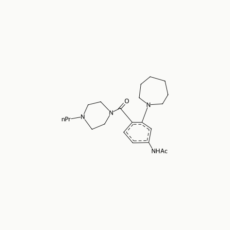 CCCN1CCN(C(=O)c2ccc(NC(C)=O)cc2N2CCCCCC2)CC1